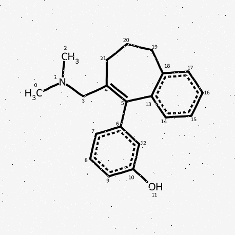 CN(C)CC1=C(c2cccc(O)c2)c2ccccc2CCC1